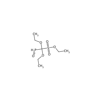 CCOC(OCC)([PH2]=O)S(=O)(=O)OCC